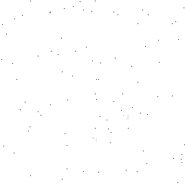 CCOC(=O)C1=C(C)NC(=O)NC1CC